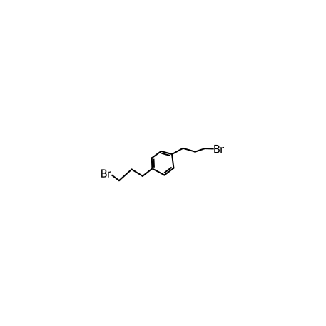 BrCCCc1ccc(CCCBr)cc1